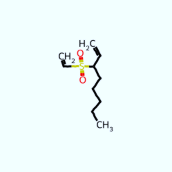 C=CC(CCCCC)S(=O)(=O)C=C